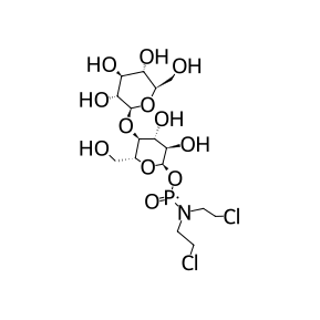 O=[P](O[C@H]1O[C@H](CO)[C@@H](O[C@@H]2O[C@H](CO)[C@@H](O)[C@H](O)[C@H]2O)[C@H](O)[C@H]1O)N(CCCl)CCCl